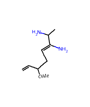 C=CC(C/C=C(\N)C(C)N)OC